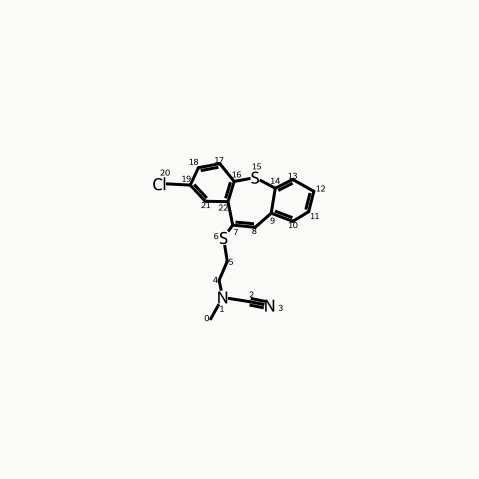 CN(C#N)CCSC1=Cc2ccccc2Sc2ccc(Cl)cc21